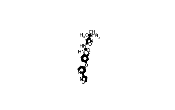 CC(C)(C)c1cc(NC(=O)Nc2ccc(Oc3ccnc(-c4ccon4)c3)cc2F)on1